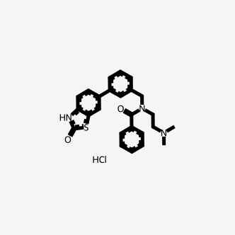 CN(C)CCN(Cc1cccc(-c2ccc3[nH]c(=O)sc3c2)c1)C(=O)c1ccccc1.Cl